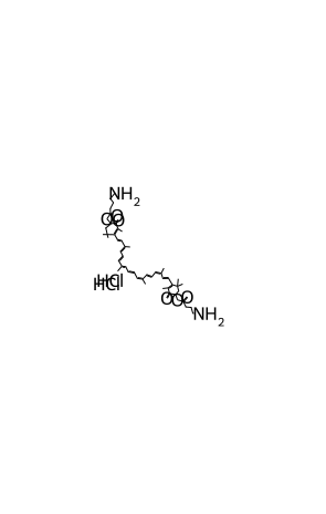 CC(C=CC=C(C)C=CC1=C(C)C(=O)C(OC(=O)CCCN)CC1(C)C)=CC=CC=C(C)C=CC=C(C)C=CC1=C(C)C(=O)C(OC(=O)CCCN)CC1(C)C.Cl.Cl